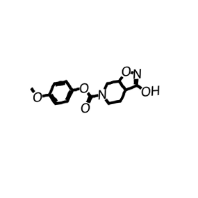 COc1ccc(OC(=O)N2CCC3C(O)=NOC3C2)cc1